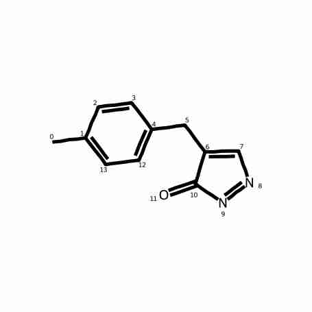 Cc1ccc(CC2=CN=NC2=O)cc1